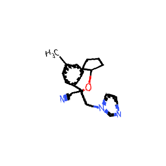 Cc1ccc(C(C#N)(Cn2ccnc2)OC2CCCC2)cc1